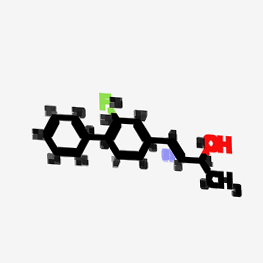 CC(O)/C=C/c1ccc(-c2ccccc2)c(F)c1